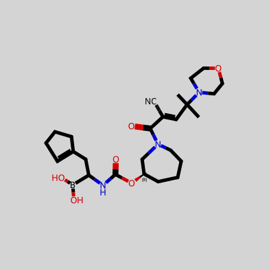 CC(C)(C=C(C#N)C(=O)N1CCCC[C@@H](OC(=O)NC(CC2=CCCC2)B(O)O)C1)N1CCOCC1